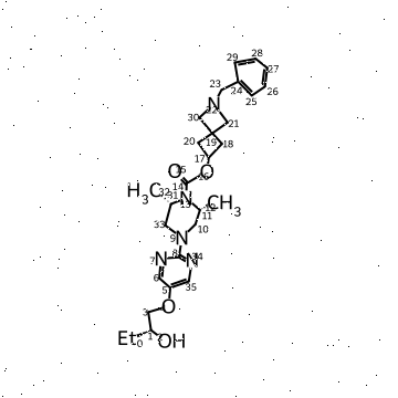 CC[C@H](O)COc1cnc(N2C[C@@H](C)N(C(=O)OC3CC4(C3)CN(Cc3ccccc3)C4)[C@@H](C)C2)nc1